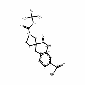 CC(C)(C)OC(=O)N1CCC2(Cc3ccc(C(=O)O)cc3NC2=O)C1